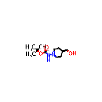 CC(C)(C)OC(=O)NN1CCC(CO)CC1